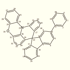 c1ccc(-c2ccc3c(c2)C2(c4ccccc4-3)c3ccccc3N3c4ccccc4Oc4cccc2c43)cc1